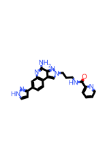 Nc1nc2cc(-c3cc[nH]n3)ccc2c2cn(CCCNC(=O)c3ccccn3)nc12